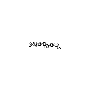 CCOC(=O)COc1ccc(C(=O)CN2CCN(C3CCN(C(=O)OC(C)OC(=O)CC)CC3)CC2=O)cc1